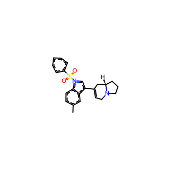 Cc1ccc2c(c1)c(C1=CCN3CCC[C@H]3C1)cn2S(=O)(=O)c1ccccc1